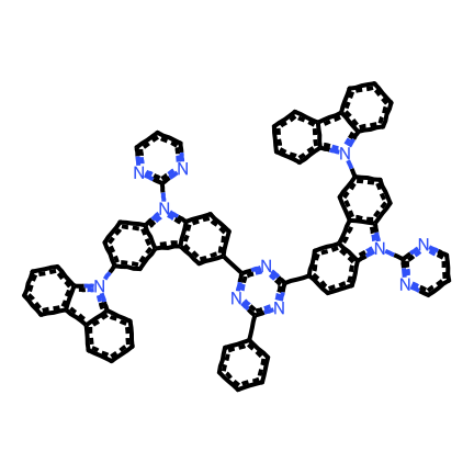 c1ccc(-c2nc(-c3ccc4c(c3)c3cc(-n5c6ccccc6c6ccccc65)ccc3n4-c3ncccn3)nc(-c3ccc4c(c3)c3cc(-n5c6ccccc6c6ccccc65)ccc3n4-c3ncccn3)n2)cc1